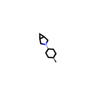 C[C@H]1CC[C@H](N2CC3CC3C2)CC1